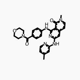 Cc1ccnc(Nc2cc3ccn(C)c(=O)c3c(Nc3ccc(C(=O)N4CCOCC4)cc3)n2)c1